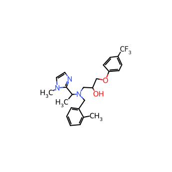 Cc1ccccc1CN(CC(O)COc1ccc(C(F)(F)F)cc1)C(C)c1nccn1C